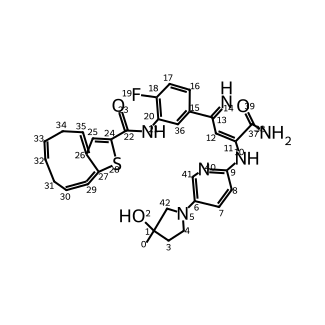 CC1(O)CCN(c2ccc(N/C(=C/C(=N)c3ccc(F)c(NC(=O)c4c/c5c(s4)=C=CC/C=C\C/C=5)c3)C(N)=O)nc2)C1